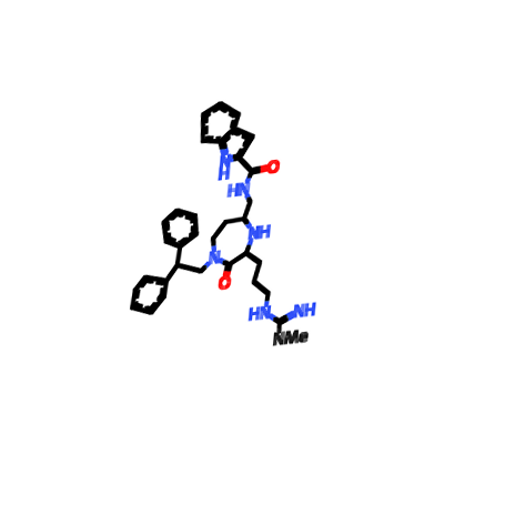 CNC(=N)NCCCC1NC(CNC(=O)c2cc3ccccc3[nH]2)CCN(CC(c2ccccc2)c2ccccc2)C1=O